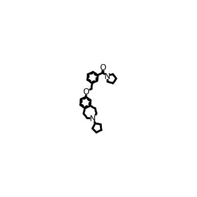 O=C(c1cccc(COc2ccc3c(c2)CCN(C2CCCC2)CC3)c1)N1CCCC1